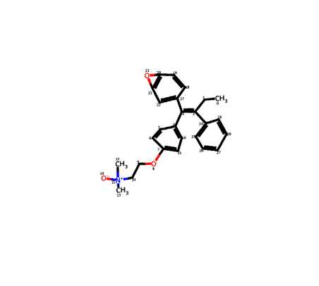 CC/C(=C(/c1ccc(OCC[N+](C)(C)[O-])cc1)c1ccc2c(c1)O2)c1ccccc1